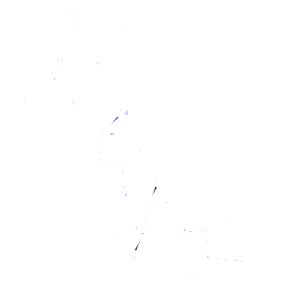 CC1(C(=O)N2C[C@@H]3CCN(C(=O)C[C@H](N)Cc4cc(F)c(F)cc4F)[C@@H]3C2)CC1